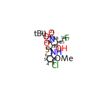 COc1c(Cl)cccc1NC(=S)C1=C(O)C(CCF)CN(C(=O)OC(C)(C)C)C1=O